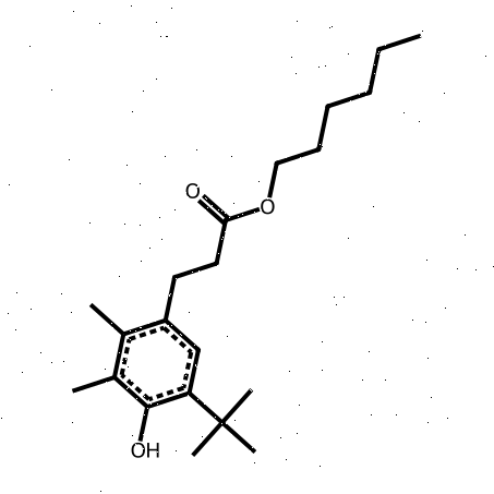 CCCCCCOC(=O)CCc1cc(C(C)(C)C)c(O)c(C)c1C